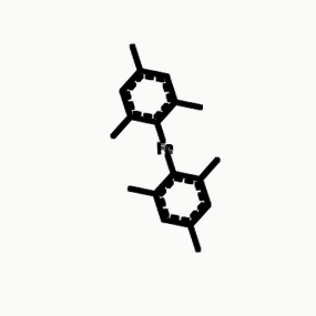 Cc1cc(C)[c]([Fe][c]2c(C)cc(C)cc2C)c(C)c1